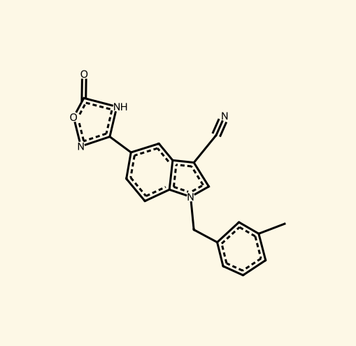 Cc1cccc(Cn2cc(C#N)c3cc(-c4noc(=O)[nH]4)ccc32)c1